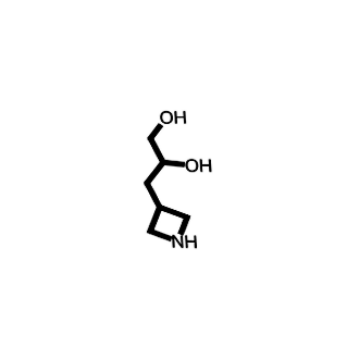 OCC(O)CC1CNC1